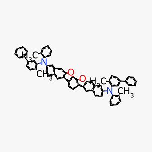 Cc1ccccc1N(c1ccc2cc3c(cc2c1)oc1c3ccc2c3cc4ccc(N(c5ccccc5C)c5cc(-c6ccccc6)ccc5C)cc4cc3oc21)c1cc(-c2ccccc2)ccc1C